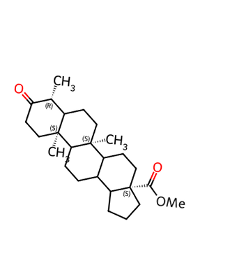 COC(=O)[C@]12CCCC1C1CCC3[C@@](C)(CCC4[C@@H](C)C(=O)CC[C@@]43C)C1CC2